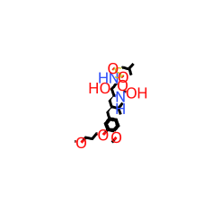 COCCCOc1cc(C[C@@H](C[C@H](NC(=O)O)[C@@H](O)CNS(=O)(=O)CC(C)C)C(C)C)ccc1OC